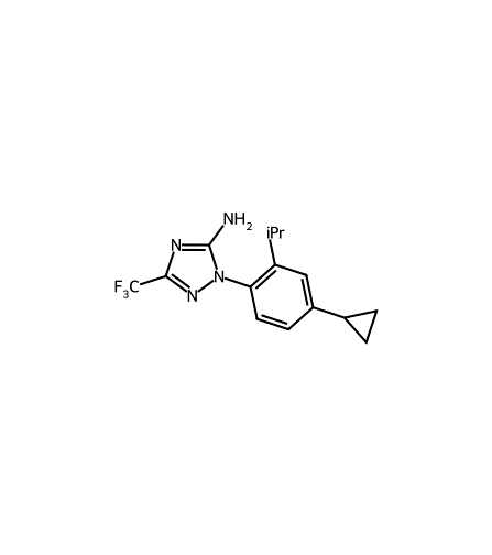 CC(C)c1cc(C2CC2)ccc1-n1nc(C(F)(F)F)nc1N